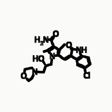 Cc1c(C(N)=O)c(C)n(C[C@H](O)CN2CCOCC2)c1/C=C1\C(=O)Nc2ccc(Cl)cc21